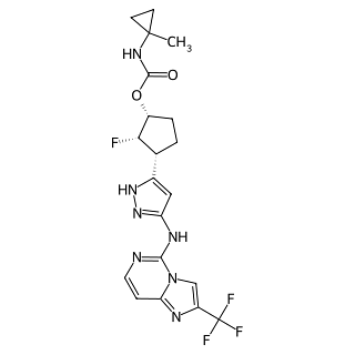 CC1(NC(=O)O[C@@H]2CC[C@H](c3cc(Nc4nccc5nc(C(F)(F)F)cn45)n[nH]3)[C@@H]2F)CC1